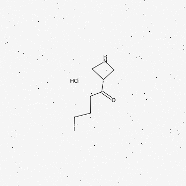 CCCCC(=O)C1CNC1.Cl